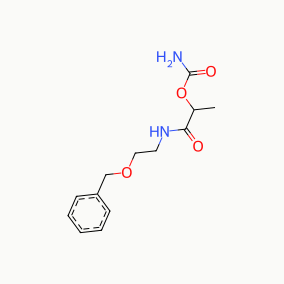 CC(OC(N)=O)C(=O)NCCOCc1ccccc1